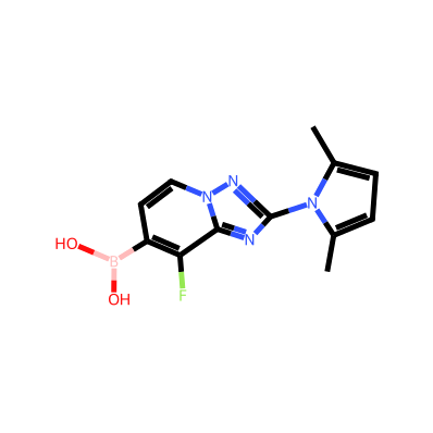 Cc1ccc(C)n1-c1nc2c(F)c(B(O)O)ccn2n1